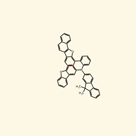 CC1(C)c2ccccc2-c2ccc(N(c3ccc4oc5ccccc5c4c3)c3ccccc3-c3cccc4c3oc3c5ccccc5ccc43)cc21